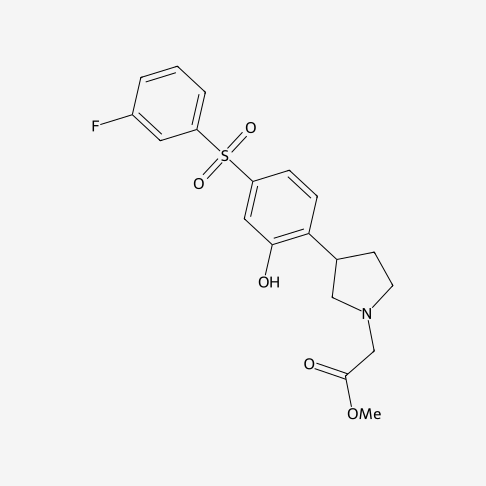 COC(=O)CN1CCC(c2ccc(S(=O)(=O)c3cccc(F)c3)cc2O)C1